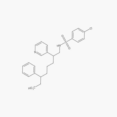 O=C(O)CC(CCCC(CNS(=O)(=O)c1ccc(Cl)cc1)c1cccnc1)c1ccccc1